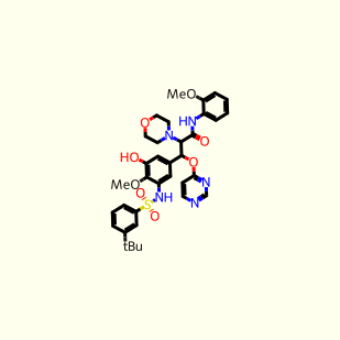 COc1ccccc1NC(=O)C(C(Oc1ccncn1)c1cc(O)c(OC)c(NS(=O)(=O)c2cccc(C(C)(C)C)c2)c1)N1CCOCC1